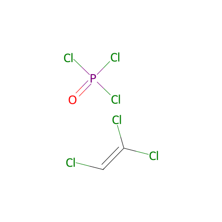 ClC=C(Cl)Cl.O=P(Cl)(Cl)Cl